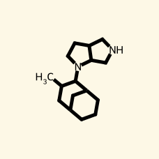 CC1CC2CCCC(C2)C1N1CCC2CNCC21